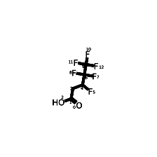 O=C(O)CC(F)C(F)(F)C(F)(F)F